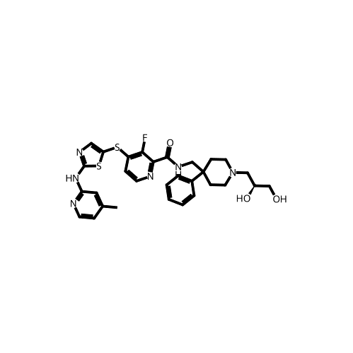 Cc1ccnc(Nc2ncc(Sc3ccnc(C(=O)NCC4(c5ccccc5)CCN(C[C@H](O)CO)CC4)c3F)s2)c1